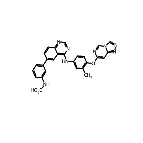 Cc1cc(Nc2ncnc3ccc(-c4cccc(NC(=O)O)c4)cc23)ccc1Oc1cc2nncn2cn1